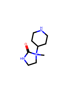 C[N+]1(C2CCNCC2)CCNC1=O